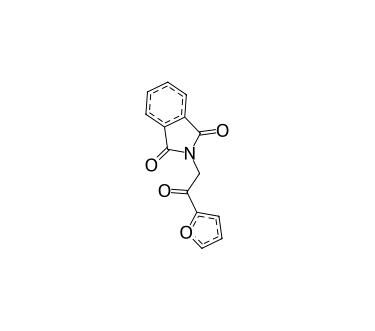 O=C(CN1C(=O)c2ccccc2C1=O)c1ccco1